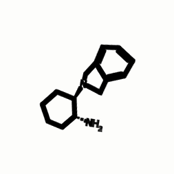 N[C@@H]1CCCC[C@H]1N1Cc2ccccc2C1